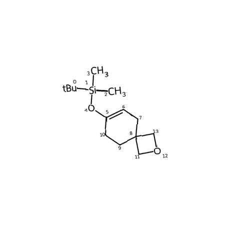 CC(C)(C)[Si](C)(C)OC1=CCC2(CC1)COC2